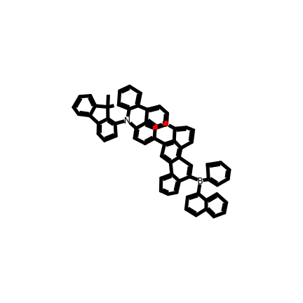 CC1(C)c2ccccc2-c2cccc(N(c3ccc4c(c3)Oc3cccc5c3c-4cc3c4ccccc4c(B(c4ccccc4)c4cccc6ccccc46)cc53)c3ccccc3-c3ccccc3)c21